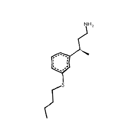 CCCCSc1cccc([C@H](C)CCN)c1